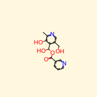 Cc1ncc(CO)c(C(O)OC(=O)c2cccnc2)c1O